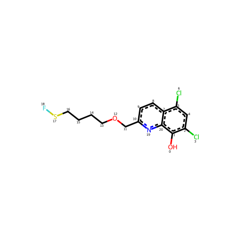 Oc1c(Cl)cc(Cl)c2ccc(COCCCCSF)nc12